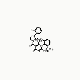 CCCCc1nc(=O)c(C(=O)N2CCC(c3ccccc3F)C2)c(O)n1-c1c(OC)cccc1OC